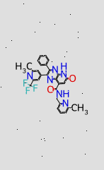 Cc1cccc(CNC(=O)c2cc(=O)[nH]c3nc(-c4ccccc4)c(-c4cc(C)nc(C(F)(F)F)c4)nc23)n1